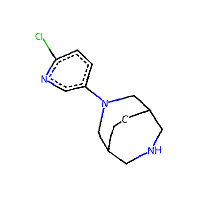 Clc1ccc(N2CC3CCC(CNC3)C2)cn1